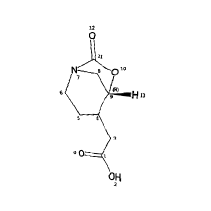 O=C(O)CC1CCN2C[C@@H]1OC2=O